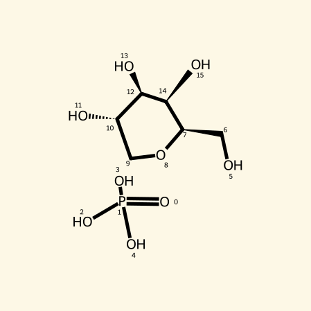 O=P(O)(O)O.OC[C@H]1OC[C@H](O)[C@@H](O)[C@H]1O